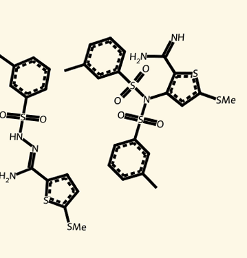 CSc1cc(N(S(=O)(=O)c2cccc(C)c2)S(=O)(=O)c2cccc(C)c2)c(C(=N)N)s1.CSc1ccc(C(N)=NNS(=O)(=O)c2cccc(C)c2)s1